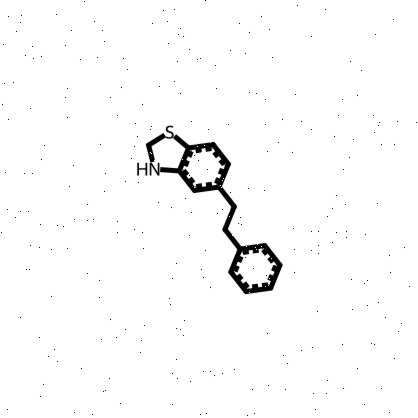 c1ccc(CCc2ccc3c(c2)NCS3)cc1